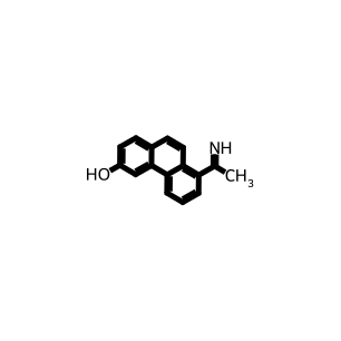 CC(=N)c1cccc2c1ccc1ccc(O)cc12